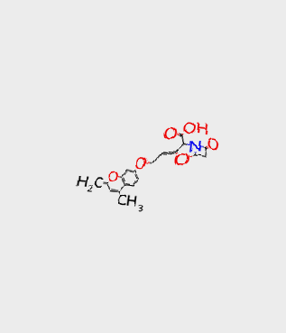 C=C1C=C(C)c2ccc(OC/C=C3\OC4CC(=O)N4C3C(=O)O)cc2O1